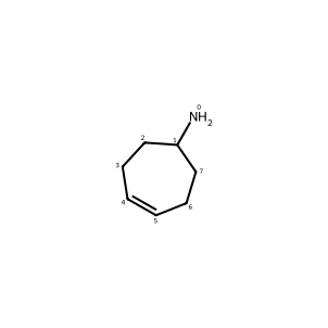 NC1CCC=CCC1